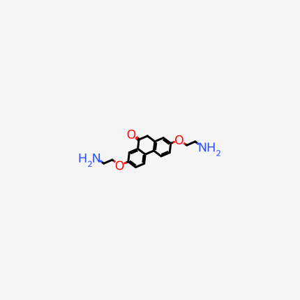 NCCOc1ccc2c(c1)CC(=O)c1cc(OCCN)ccc1-2